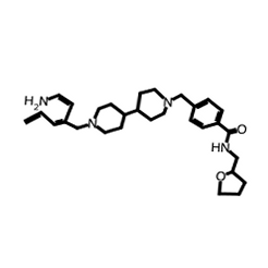 C=C/C=C(\C=C/N)CN1CCC(C2CCN(Cc3ccc(C(=O)NCC4CCCO4)cc3)CC2)CC1